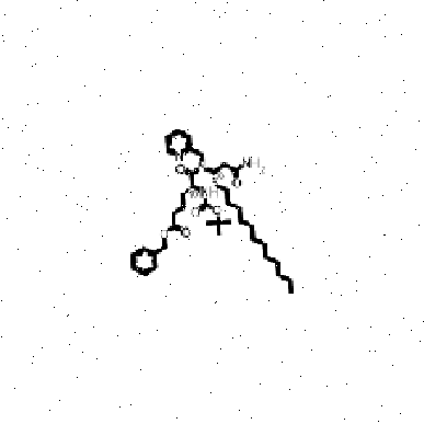 CCCCCCCCCCCCC[C@@H](CC(N)=O)N(Cc1ccccn1)C(=O)[C@H](CCCC(=O)OCc1ccccc1)NC(=O)OC(C)(C)C